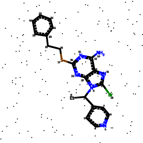 CCC(c1ccncc1)n1c(Br)nc2c(N)nc(SCCc3ccccc3)nc21